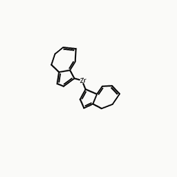 C1=CCCC2=CC=[C]([Zr][C]3=CC=C4CCC=CC=C43)C2=C1